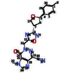 Cc1ccc([C@H]2C[C@H](c3noc(Cn4nc(C#N)c5ncn(C)c5c4=O)n3)CO2)cc1